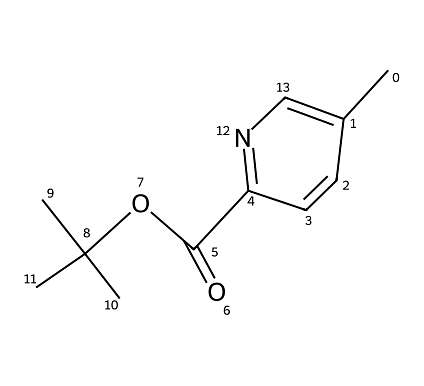 Cc1ccc(C(=O)OC(C)(C)C)nc1